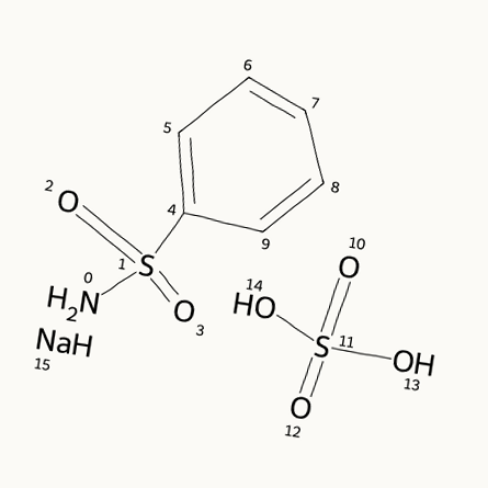 NS(=O)(=O)c1ccccc1.O=S(=O)(O)O.[NaH]